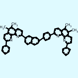 Cc1c(C)c2ccc(-c3ccc(-c4ccc5ccc(-c6ccc7c(C)c(C)c8ccc(-c9ccccc9)nc8c7n6)cc5c4)cc3)nc2c2nc(-c3ccccc3)ccc12